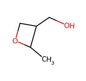 CC1OCC1CO